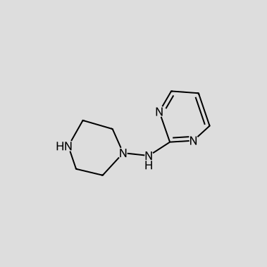 c1cnc(NN2CCNCC2)nc1